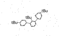 CC(C)(C)c1ccc(-c2cccc(-c3ccc(C(C)(C)C)cc3)c2C(C)(C)C)cc1